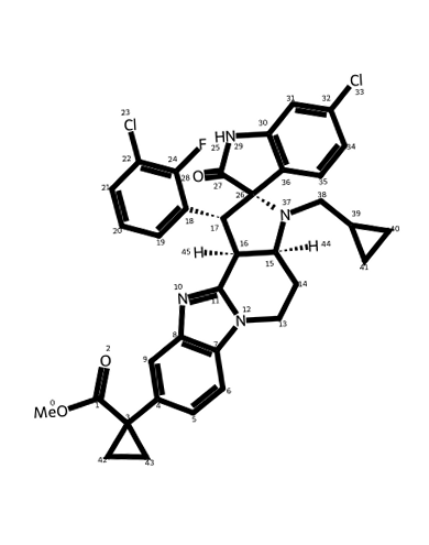 COC(=O)C1(c2ccc3c(c2)nc2n3CC[C@H]3[C@@H]2[C@H](c2cccc(Cl)c2F)[C@]2(C(=O)Nc4cc(Cl)ccc42)N3CC2CC2)CC1